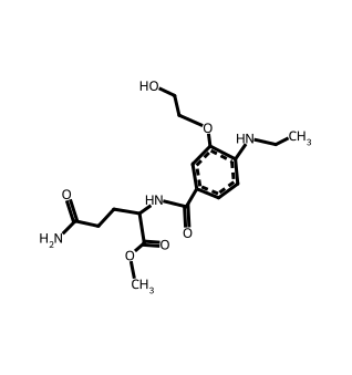 CCNc1ccc(C(=O)NC(CCC(N)=O)C(=O)OC)cc1OCCO